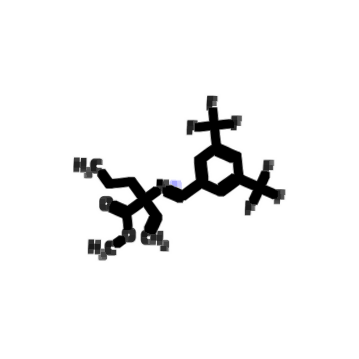 C=CC(CCC)(/N=C/c1cc(C(F)(F)F)cc(C(F)(F)F)c1)C(=O)OC